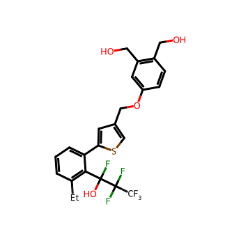 CCc1cccc(-c2cc(COc3ccc(CO)c(CO)c3)cs2)c1C(O)(F)C(F)(F)C(F)(F)F